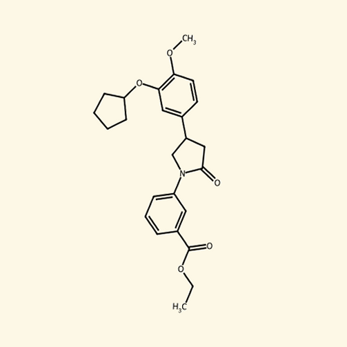 CCOC(=O)c1cccc(N2CC(c3ccc(OC)c(OC4CCCC4)c3)CC2=O)c1